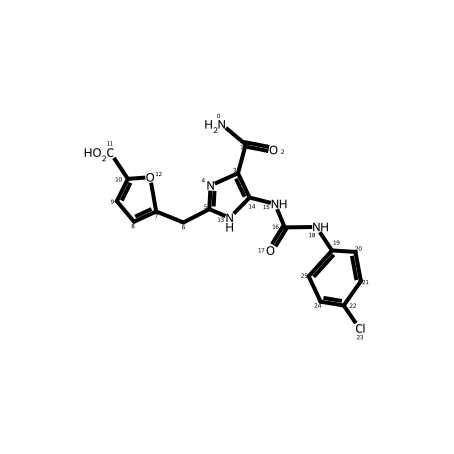 NC(=O)c1nc(Cc2ccc(C(=O)O)o2)[nH]c1NC(=O)Nc1ccc(Cl)cc1